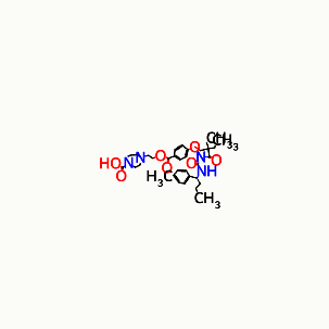 CCC[C@H](NC(=O)N1C(=O)C(CC)(CC)[C@@H]1Oc1ccc(C(=O)OCCN2CCN(C(=O)O)CC2)cc1)c1ccc(C)cc1